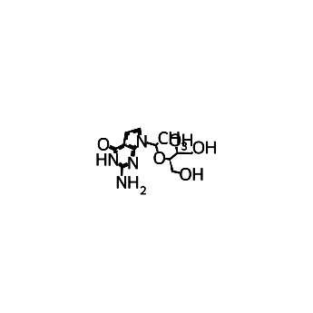 CC(O[C@H](CO)[C@@H](O)CO)n1ccc2c(=O)[nH]c(N)nc21